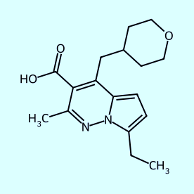 CCc1ccc2c(CC3CCOCC3)c(C(=O)O)c(C)nn12